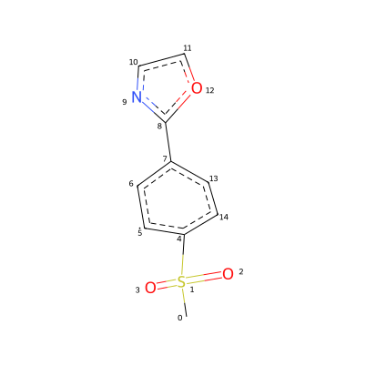 CS(=O)(=O)c1[c]cc(-c2ncco2)cc1